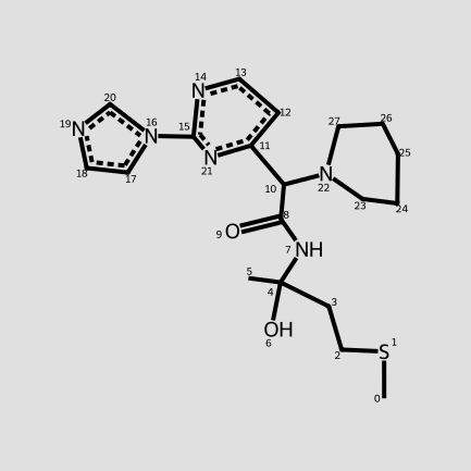 CSCCC(C)(O)NC(=O)C(c1ccnc(-n2ccnc2)n1)N1CCCCC1